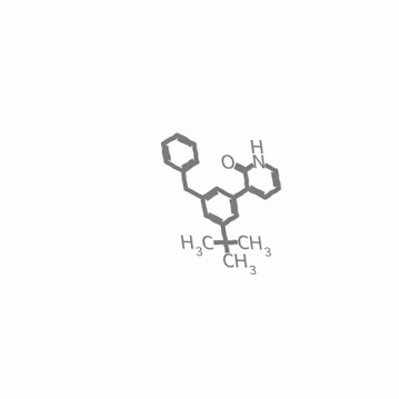 CC(C)(C)c1cc(Cc2ccccc2)cc(-c2ccc[nH]c2=O)c1